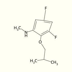 CNc1cc(F)cc(F)c1OCC(C)C